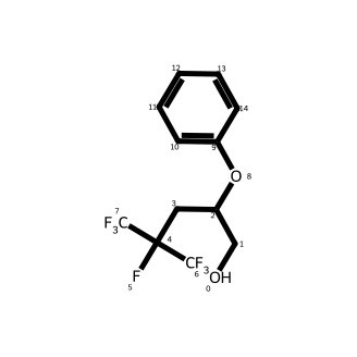 OCC(CC(F)(C(F)(F)F)C(F)(F)F)Oc1ccccc1